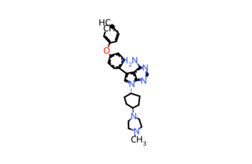 C#C/C=C\C(=C/C)Oc1ccc(-c2cn([C@H]3CC[C@H](N4CCN(C)CC4)CC3)c3ncnc(N)c23)cc1